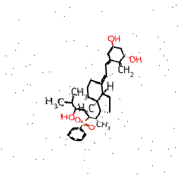 C=C1C(=CC=C2CCC[C@]3(C)[C@@H]([C@H](C)C(CC(O)C(C)C)S(=O)(=O)c4ccccc4)CC[C@@H]23)C[C@@H](O)C[C@@H]1O